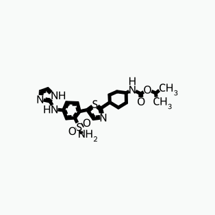 CC(C)OC(=O)NC1CCC(c2ncc(-c3ccc(Nc4ncc[nH]4)cc3S(N)(=O)=O)s2)CC1